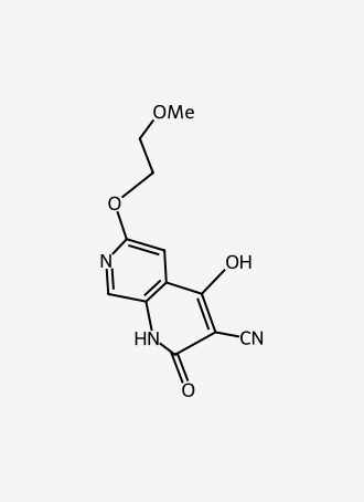 COCCOc1cc2c(O)c(C#N)c(=O)[nH]c2cn1